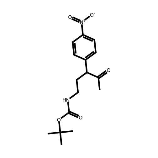 CC(=O)C(CCNC(=O)OC(C)(C)C)c1ccc([N+](=O)[O-])cc1